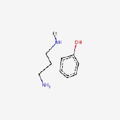 CCNCCCN.Oc1ccccc1